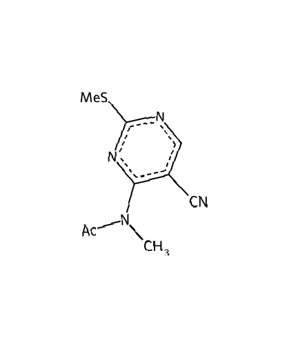 CSc1ncc(C#N)c(N(C)C(C)=O)n1